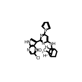 CCOC(=O)[C@@H]1C2CCC(CC2)[C@H]1Nc1cc(-n2cccc2)nc(-c2c[nH]c3ncc(Cl)nc23)n1